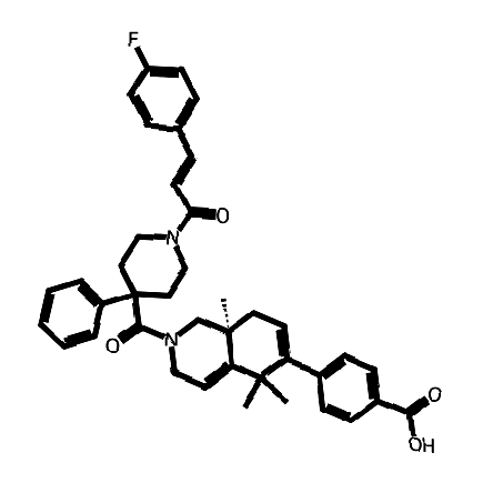 CC1(C)C(c2ccc(C(=O)O)cc2)=CC[C@]2(C)CN(C(=O)C3(c4ccccc4)CCN(C(=O)/C=C/c4ccc(F)cc4)CC3)CC=C12